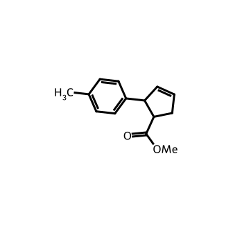 COC(=O)C1CC=CC1c1ccc(C)cc1